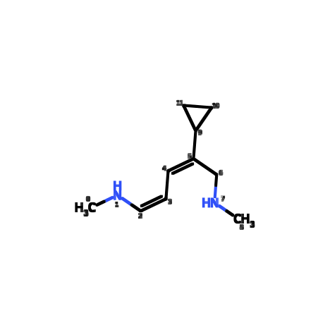 CN/C=C\C=C(/CNC)C1CC1